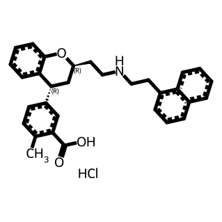 Cc1ccc([C@H]2C[C@H](CCNCCc3cccc4ccccc34)Oc3ccccc32)cc1C(=O)O.Cl